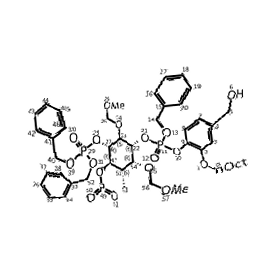 CCCCCCCCOc1cc(CO)ccc1OP(=O)(OCc1ccccc1)O[C@H]1[C@H](OCOC)[C@@H](OP(=O)(OCc2ccccc2)OCc2ccccc2)[C@H](OP(=O)=O)[C@@H](C)[C@H]1OCOC